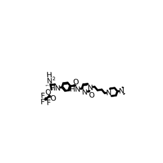 CN(C)C1CCN(CCCCn2ccc(NC(=O)c3ccc(NC[C@](C)(N)COC(=O)C(F)(F)F)cc3)nc2=O)CC1